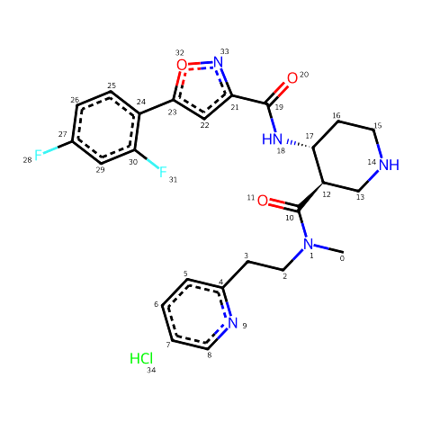 CN(CCc1ccccn1)C(=O)[C@@H]1CNCC[C@H]1NC(=O)c1cc(-c2ccc(F)cc2F)on1.Cl